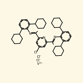 CC(=Nc1c(C2CCCCC2)cccc1C1CCCCC1)c1cc(Cl)cc(C(C)=Nc2c(C3CCCCC3)cccc2C2CCCCC2)n1.[Cl-].[Cl-].[V+2]